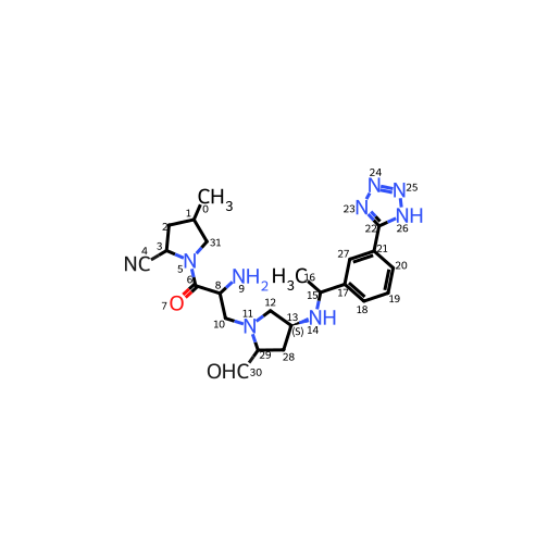 CC1CC(C#N)N(C(=O)C(N)CN2C[C@@H](NC(C)c3cccc(-c4nnn[nH]4)c3)CC2C=O)C1